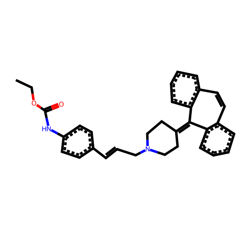 CCOC(=O)Nc1ccc(/C=C/CN2CCC(=C3c4ccccc4C=Cc4ccccc43)CC2)cc1